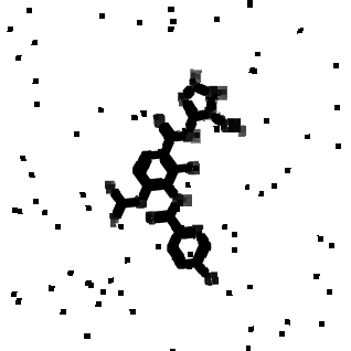 CN1NNN=C1NC(=O)c1ccc(OC(F)F)c(NC(=O)c2ccc(Cl)cn2)c1Cl